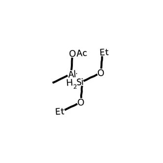 CCO[SiH2]OCC.[CH3][Al][O]C(C)=O